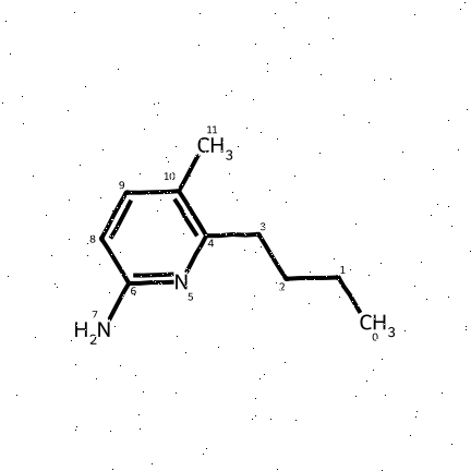 CCCCc1nc(N)ccc1C